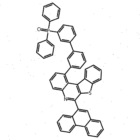 O=P(c1ccccc1)(c1ccccc1)c1cccc(-c2cccc(-c3cccc4nc(-c5cc6ccccc6c6ccccc56)c5sc6ccccc6c5c34)c2)c1